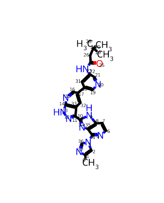 Cc1cn(-c2nccc3[nH]c(-c4n[nH]c5ncc(-c6cncc(NC(=O)CC(C)(C)C)c6)cc45)nc23)cn1